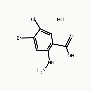 Cl.NNc1cc(Br)c(Cl)cc1C(=O)O